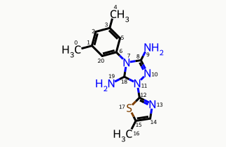 Cc1cc(C)cc(N2C(N)=NN(c3ncc(C)s3)C2N)c1